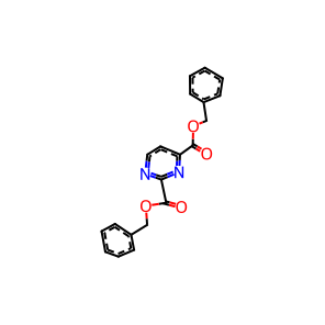 O=C(OCc1ccccc1)c1ccnc(C(=O)OCc2ccccc2)n1